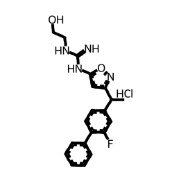 CC(c1ccc(-c2ccccc2)c(F)c1)c1cc(NC(=N)NCCO)on1.Cl